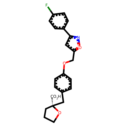 O=C(O)[C@@]1(Cc2ccc(OCc3cc(-c4ccc(F)cc4)no3)cc2)CCCO1